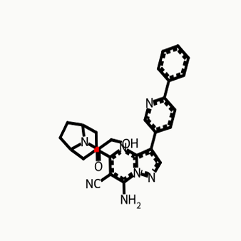 N#Cc1c(C2CC3CCC(C2)N3C(=O)CO)nc2c(-c3ccc(-c4ccccc4)nc3)cnn2c1N